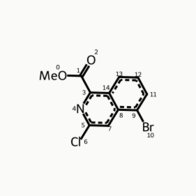 COC(=O)c1nc(Cl)cc2c(Br)cccc12